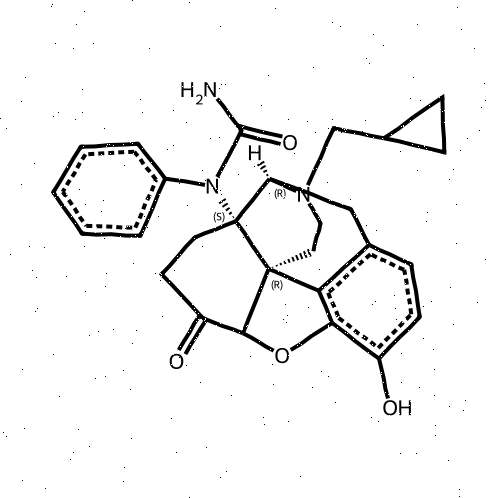 NC(=O)N(c1ccccc1)[C@@]12CCC(=O)C3Oc4c(O)ccc5c4[C@@]31CCN(CC1CC1)[C@@H]2C5